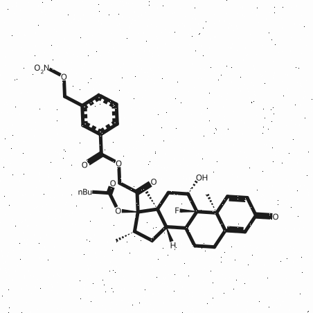 CCCCC(=O)O[C@]1(C(=O)COC(=O)c2cccc(CO[N+](=O)[O-])c2)[C@@H](C)C[C@H]2C3CCC4=CC(=O)C=C[C@]4(C)[C@@]3(F)[C@@H](O)C[C@@]21C